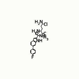 CC(NC(=O)c1cc2ccc(-c3ccc(F)cc3)cc2[nH]1)[C@@H](N)CCC(N)Cl